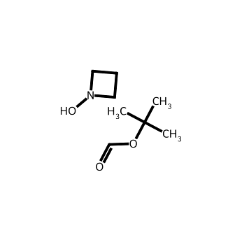 CC(C)(C)OC=O.ON1CCC1